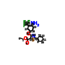 CCOC(=O)c1sc(-c2ccccc2)nc1Oc1ccc(N)c(C(F)(F)F)c1